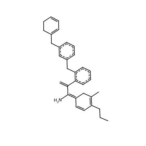 C=C(/C(N)=C1/C=CC(CCC)=C(C)C1)c1ccccc1Cc1cccc(CC2=CC=CCC2)c1